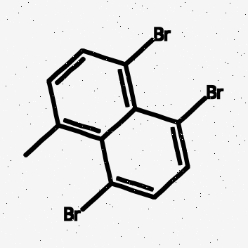 Cc1ccc(Br)c2c(Br)ccc(Br)c12